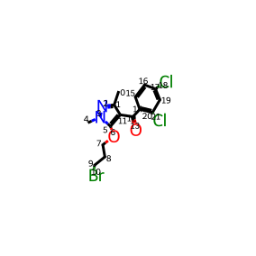 Cc1nn(C)c(OCCCBr)c1C(=O)c1ccc(Cl)cc1Cl